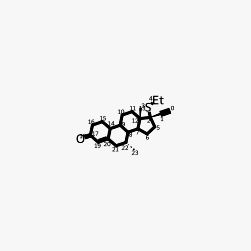 C#C[C@@]1(SCC)CCC2C3C(CC[C@@]21C)C1CCC(=O)C=C1C[C@H]3C